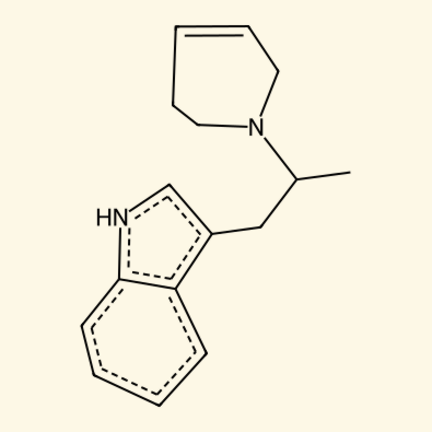 CC(Cc1c[nH]c2ccccc12)N1CC=CCC1